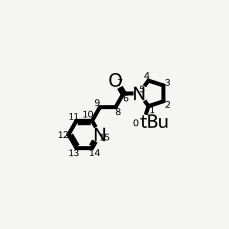 CC(C)(C)C1CCCN1C(=O)CCc1ccccn1